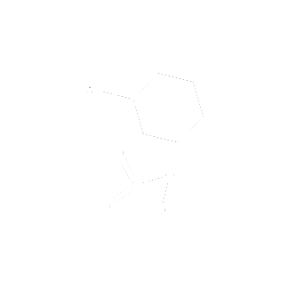 CC(=O)C1CCCCC1.O=S1(=O)OO1